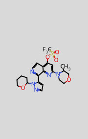 CC1COCCN1c1cc(OS(=O)(=O)C(F)(F)F)c2ccnc(-c3ccnn3C3CCCCO3)c2n1